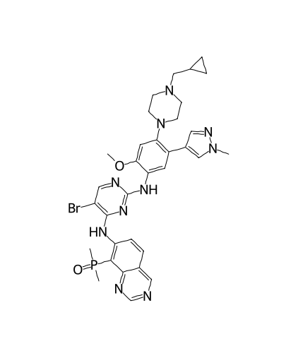 COc1cc(N2CCN(CC3CC3)CC2)c(-c2cnn(C)c2)cc1Nc1ncc(Br)c(Nc2ccc3cncnc3c2P(C)(C)=O)n1